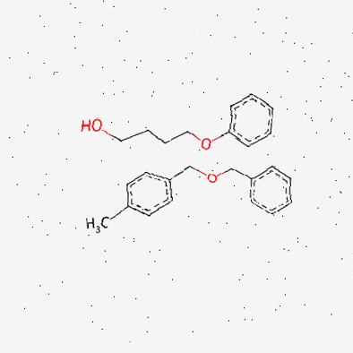 Cc1ccc(COCc2ccccc2)cc1.OCCCCOc1ccccc1